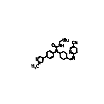 Cn1cc(-c2ccc(N(C(=O)NCC(C)(C)C)C3CCC(/C=N\c4ccc(C#N)cn4)CC3)cc2)cn1